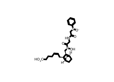 O=C(O)CCC/C=C\C[C@H]1[C@@H](CN(O)C(=O)CNC(=O)C[S+]([O-])c2ccccc2)[C@H]2CC[C@@H]1O2